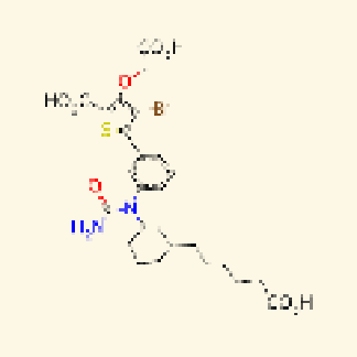 NC(=O)N(c1cccc(-c2sc(C(=O)O)c(OCC(=O)O)c2Br)c1)C1CCCC(CCCCCC(=O)O)C1